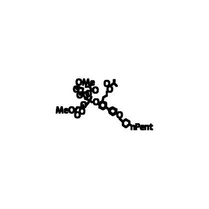 C=C(C)C(=O)OCCCc1cc(-c2ccc(OCC3CCC(CCCCC)CC3)cc2)ccc1OCC(COC(=O)CC(=O)OC)(COC(=O)CC(=O)OC)COC(=O)C(=C)C